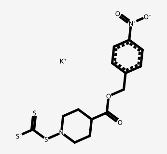 O=C(OCc1ccc([N+](=O)[O-])cc1)C1CCN(SC(=S)[S-])CC1.[K+]